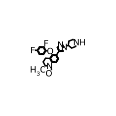 CC1CCc2c(ccc(-c3cnn(C4CCNCC4)c3)c2Oc2ccc(F)cc2F)N1C=O